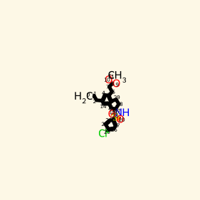 C=CCc1cc(CCC(=O)OC)c2c(c1)CC(NS(=O)(=O)c1ccc(Cl)cc1)CC2